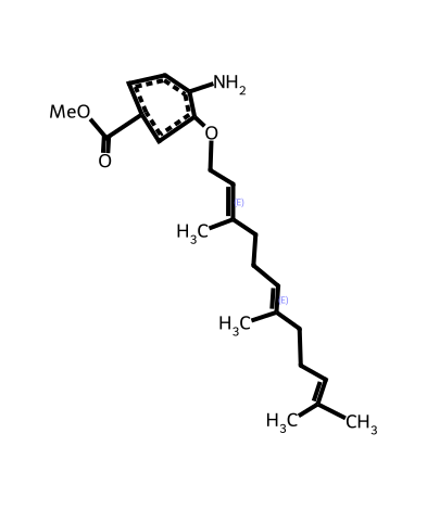 COC(=O)c1ccc(N)c(OC/C=C(\C)CC/C=C(\C)CCC=C(C)C)c1